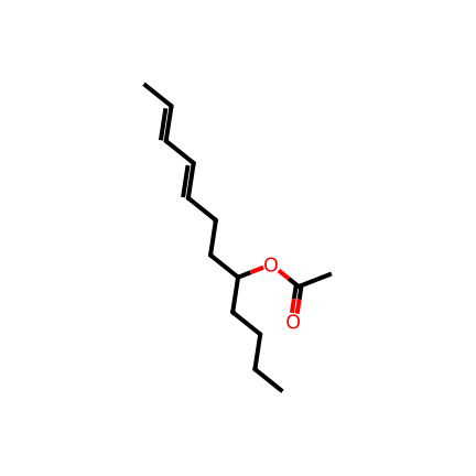 CC=CC=CCCC(CCCC)OC(C)=O